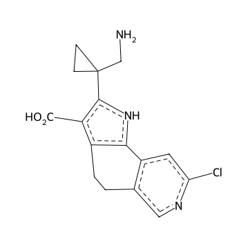 NCC1(c2[nH]c3c(c2C(=O)O)CCc2cnc(Cl)cc2-3)CC1